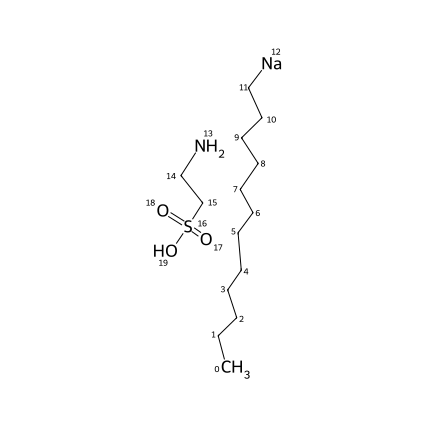 CCCCCCCCCCC[CH2][Na].NCCS(=O)(=O)O